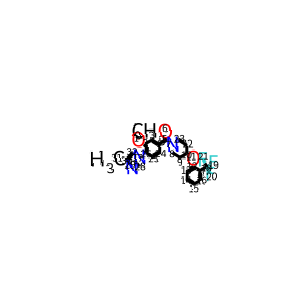 COc1cc(C(=O)N2CCC(Oc3ccccc3C(F)(F)F)CC2)ccc1-n1cnc(C)c1